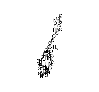 CC(=O)N1c2ccc(-c3ccc(C(=O)NCCOCCOCCOCCOCCOCCOCCOCCOCCNC(=O)c4nc(NC(=O)CCNC(=O)c5c(NC(=O)c6nc(NC(=O)CCNC(=O)c7cc(NC(=O)c8nc(NC(=O)CCN)cn8C)cn7C)cn6C)ccn5C)cn4C)cc3)c(-c3cc(Cl)ccc3N)c2CC[C@@H]1C